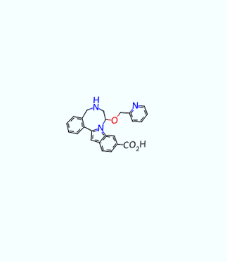 O=C(O)c1ccc2cc3n(c2c1)C(OCc1ccccn1)CNCc1ccccc1-3